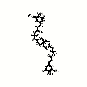 Cc1cc(CCC(=O)OC(C)(C)CC2OCC3(CO2)COC(CC(C)(C)OC(=O)CCc2cc(C)c(O)c(C(C)(C)C)c2)OC3)cc(C(C)(C)C)c1O